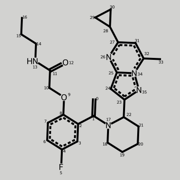 C=C(c1cc(F)ccc1OCC(=O)NCCC)N1CCCCC1c1cc2nc(C3CC3)cc(C)n2n1